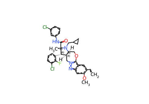 C=Cc1cc2c3n(nc2cc1OC)C[C@@H]1[C@H](CO3)N(CC2CC2)[C@@](C)(C(=O)Nc2cccc(Cl)c2)[C@H]1c1cccc(Cl)c1F